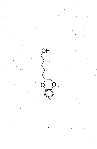 OCCCCCC1COc2cscc2O1